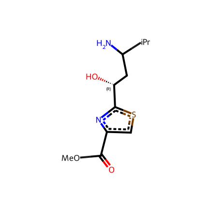 COC(=O)c1csc([C@H](O)CC(N)C(C)C)n1